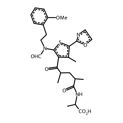 COc1ccccc1CCN(C=O)c1sc(-c2ncco2)c(C)c1C(=O)C(C)CC(C)C(=O)NC(C)C(=O)O